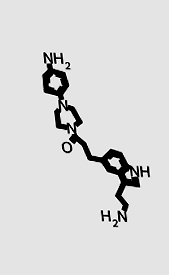 NCCc1c[nH]c2ccc(CCC(=O)N3CCN(c4ccc(N)cc4)CC3)cc12